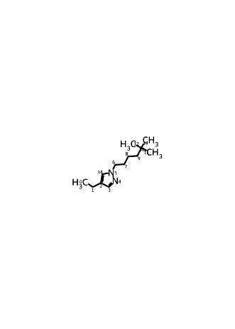 CCc1cnn(CCCCC(C)(C)C)c1